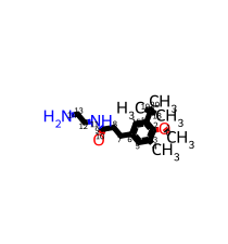 COc1c(C)cc(CCC(=O)NCCN)cc1C(C)(C)C